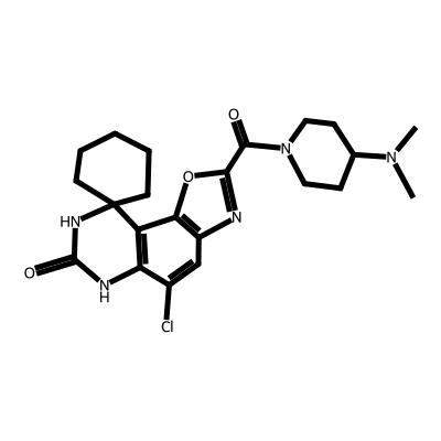 CN(C)C1CCN(C(=O)c2nc3cc(Cl)c4c(c3o2)C2(CCCCC2)NC(=O)N4)CC1